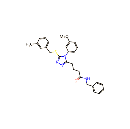 COc1cccc(-n2c(CCCC(=O)NCc3ccccc3)nnc2SCc2cccc(C)c2)c1